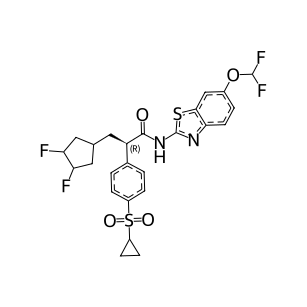 O=C(Nc1nc2ccc(OC(F)F)cc2s1)[C@H](CC1CC(F)C(F)C1)c1ccc(S(=O)(=O)C2CC2)cc1